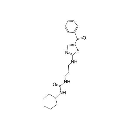 O=C(NCCCNc1ncc(C(=O)c2ccccc2)s1)NC1CCCCC1